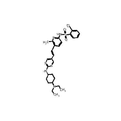 CCN(CC)C1CCC(Nc2ncc(/C=C/c3ccc(NS(=O)(=O)c4ccccc4Cl)nc3C)cn2)CC1